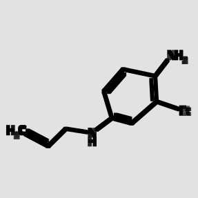 C=CCNc1ccc(N)c(CC)c1